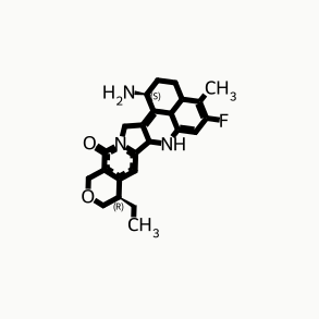 CC[C@H]1COCc2c1cc1n(c2=O)CC2=C3C4C(=CC(F)=C(C)C4CC[C@@H]3N)NC21